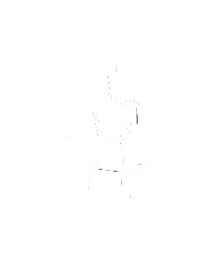 CCOP(C)(=O)c1cc[n+](C)nc1.[Br-]